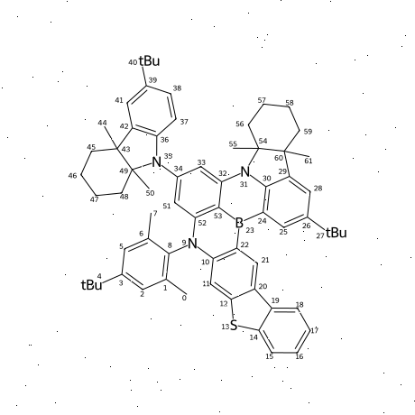 Cc1cc(C(C)(C)C)cc(C)c1N1c2cc3sc4ccccc4c3cc2B2c3cc(C(C)(C)C)cc4c3N(c3cc(N5c6ccc(C(C)(C)C)cc6C6(C)CCCCC56C)cc1c32)C1(C)CCCCC41C